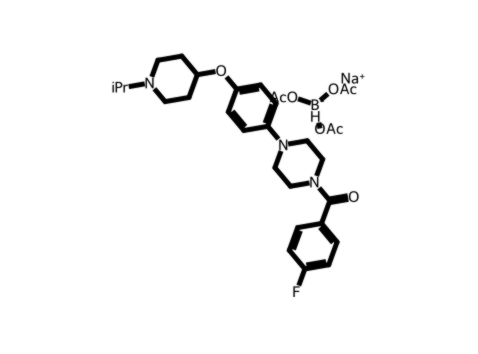 CC(=O)O[BH-](OC(C)=O)OC(C)=O.CC(C)N1CCC(Oc2ccc(N3CCN(C(=O)c4ccc(F)cc4)CC3)cc2)CC1.[Na+]